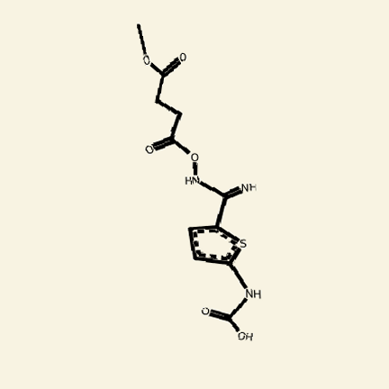 COC(=O)CCC(=O)ONC(=N)c1ccc(NC(=O)O)s1